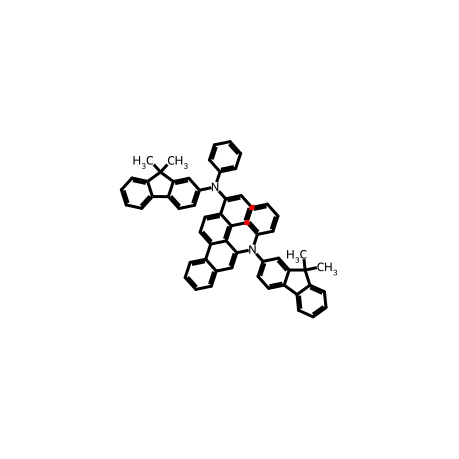 CC1(C)c2ccccc2-c2ccc(N(c3ccccc3)c3cccc4c3ccc3c5ccccc5cc(N(c5ccccc5)c5ccc6c(c5)C(C)(C)c5ccccc5-6)c43)cc21